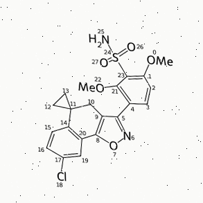 COc1ccc(-c2noc3c2CC2(CC2)c2ccc(Cl)cc2-3)c(OC)c1S(N)(=O)=O